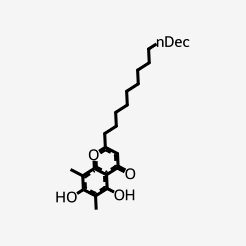 CCCCCCCCCCCCCCCCCCCc1cc(=O)c2c(O)c(C)c(O)c(C)c2o1